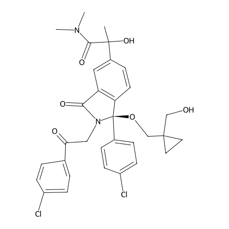 CN(C)C(=O)C(C)(O)c1ccc2c(c1)C(=O)N(CC(=O)c1ccc(Cl)cc1)[C@@]2(OCC1(CO)CC1)c1ccc(Cl)cc1